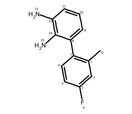 Cc1cc(F)ccc1-c1cccc(N)c1N